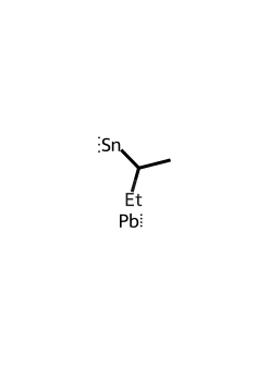 CC[CH](C)[Sn].[Pb]